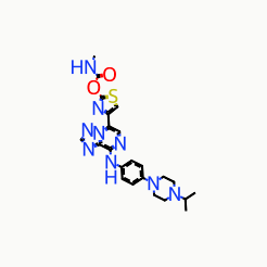 CNC(=O)Oc1nc(-c2cnc(Nc3ccc(N4CCN(C(C)C)CC4)cc3)c3ncnn23)cs1